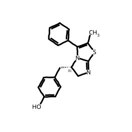 CC1=C(c2ccccc2)N2C(=NC[C@@H]2Cc2ccc(O)cc2)S1